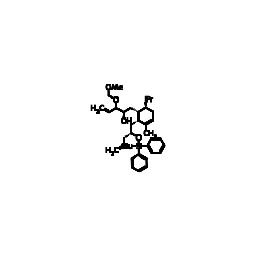 C=CC[C@H](C[C@H]1C(C)=CC[C@H](C(C)C)[C@H]1C[C@@H](O)[C@@H](C=C)OCOC)O[Si](c1ccccc1)(c1ccccc1)C(C)(C)C